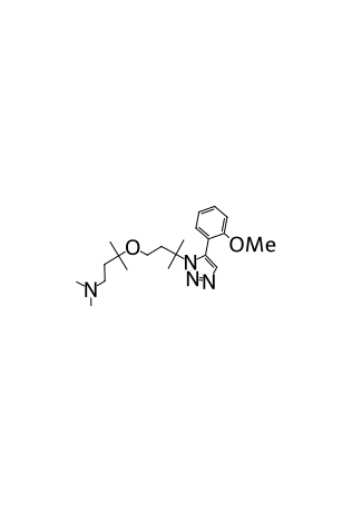 COc1ccccc1-c1cnnn1C(C)(C)CCOC(C)(C)CCN(C)C